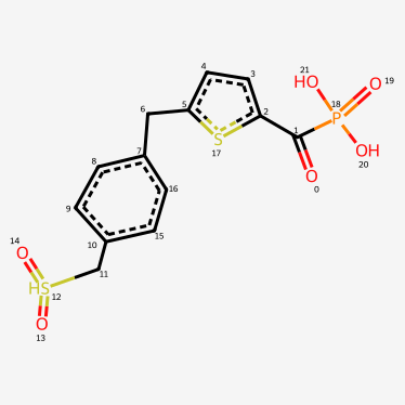 O=C(c1ccc(Cc2ccc(C[SH](=O)=O)cc2)s1)P(=O)(O)O